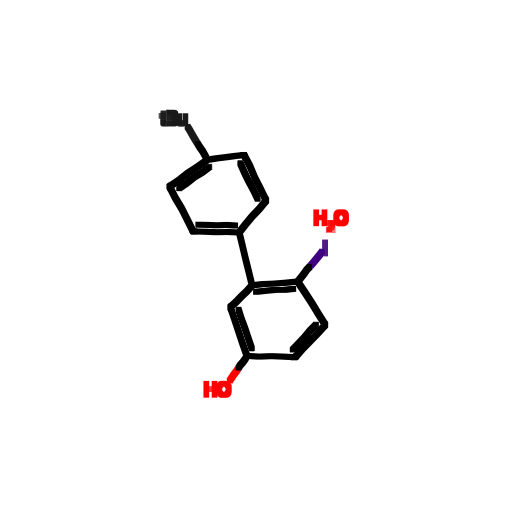 CC(C)(C)c1ccc(-c2cc(O)ccc2I)cc1.O